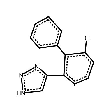 Clc1cc[c]c(-c2c[nH]nn2)c1-c1ccccc1